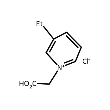 CCc1ccc[n+](CC(=O)O)c1.[Cl-]